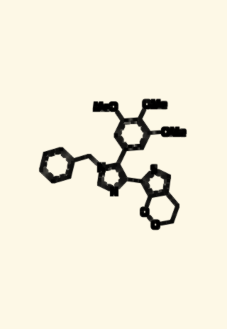 COc1cc(-c2c(-c3scc4c3OOCC4)ncn2Cc2ccccc2)cc(OC)c1OC